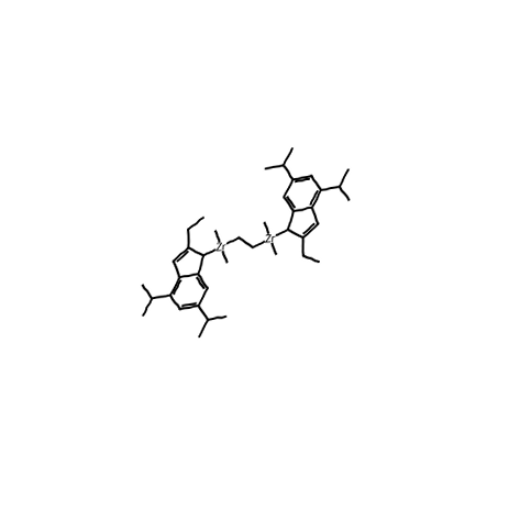 CCC1=Cc2c(C(C)C)cc(C(C)C)cc2[CH]1[Zr]([CH3])([CH3])[CH2][CH2][Zr]([CH3])([CH3])[CH]1C(CC)=Cc2c(C(C)C)cc(C(C)C)cc21